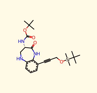 CC(C)(C)OC(=O)N[C@H]1CNc2cccc(C#CCO[Si](C)(C)C(C)(C)C)c2NC1=O